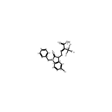 O=C(O)/C(=C/CC1C(=O)N(Cc2ccccc2)c2ccc(I)cc21)C(F)(F)F